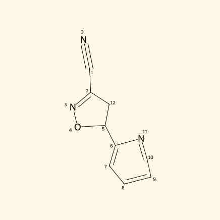 N#CC1=NOC(c2ccccn2)C1